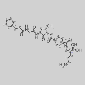 CC1CC(NC(=O)CNC(=O)CCc2ccccc2)C(=O)N1CC(=O)N1CCC2(CC1)C(=O)N2C/C(=C\CCN)B(O)O